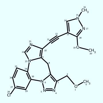 COCc1nnn2c1Cc1c(C#Cc3cn(C)nc3OC)ncn1-c1ccc(Cl)cc1-2